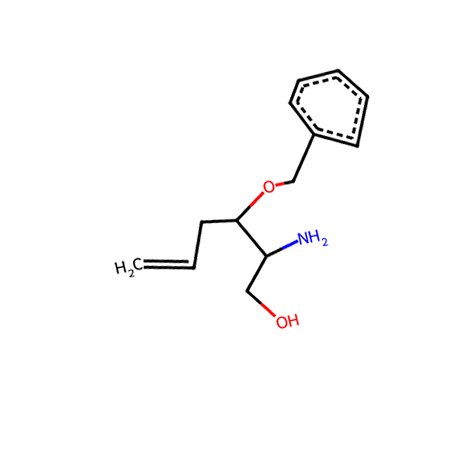 C=CCC(OCc1ccccc1)C(N)CO